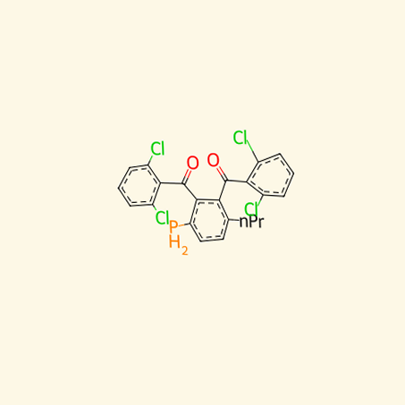 CCCc1ccc(P)c(C(=O)c2c(Cl)cccc2Cl)c1C(=O)c1c(Cl)cccc1Cl